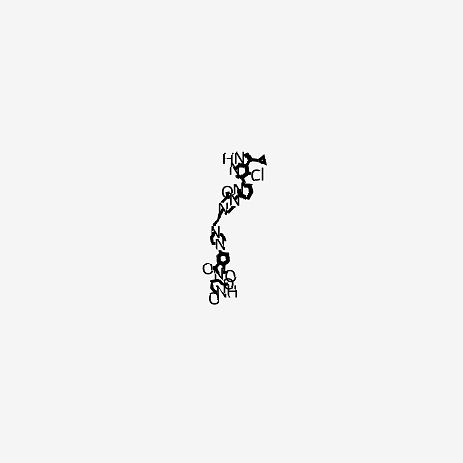 O=C1CCC(N2C(=O)c3ccc(N4CCN(CCCN5CCN(c6cccc(-c7cnc8[nH]cc(C9CC9)c8c7Cl)n6)C(=O)C5)CC4)cc3C2=O)C(=O)N1